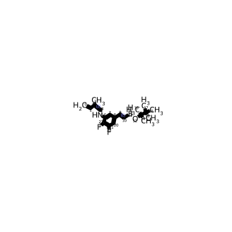 C=C/C(C)=C\Nc1cc(/C=C/BOC(C)(C)C(C)(C)C)cc(F)c1F